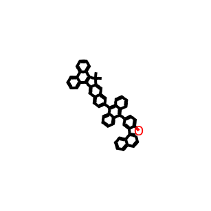 CC1(C)c2cc3cc(-c4c5ccccc5c(-c5ccc6oc7ccc8ccccc8c7c6c5)c5ccccc45)ccc3cc2-c2c1c1ccccc1c1ccccc21